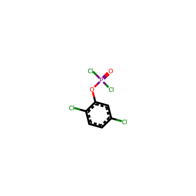 O=P(Cl)(Cl)Oc1cc(Cl)ccc1Cl